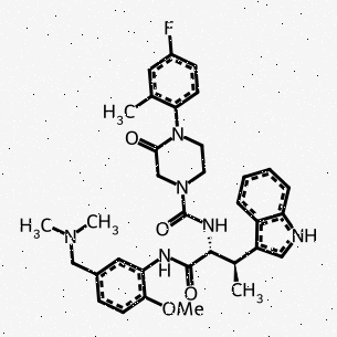 COc1ccc(CN(C)C)cc1NC(=O)[C@H](NC(=O)N1CCN(c2ccc(F)cc2C)C(=O)C1)[C@H](C)c1c[nH]c2ccccc12